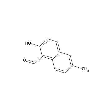 Cc1ccc2c(C=O)c(O)ccc2c1